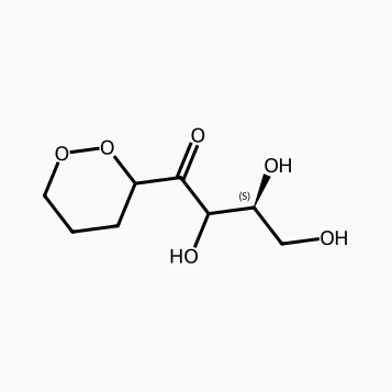 O=C(C1CCCOO1)C(O)[C@@H](O)CO